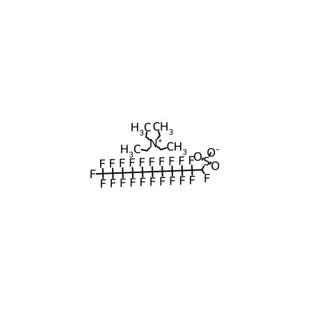 CC[N+](CC)(CC)CC.O=S(=O)([O-])C(F)C(F)(F)C(F)(F)C(F)(F)C(F)(F)C(F)(F)C(F)(F)C(F)(F)C(F)(F)C(F)(F)C(F)(F)F